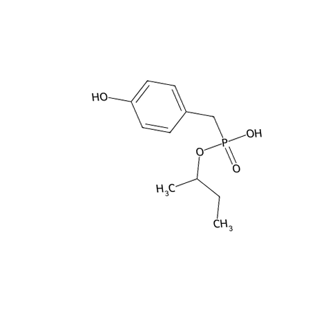 CCC(C)OP(=O)(O)Cc1ccc(O)cc1